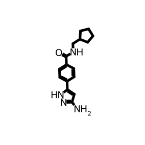 Nc1cc(-c2ccc(C(=O)NCC3CCCC3)cc2)[nH]n1